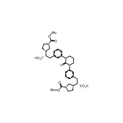 CC(C)(C)OC(=O)N1CC[C@H]([C@H](Cc2cccc(N3CCCN(c4cccc(C[C@H](C(=O)O)[C@H]5CCN(C(=O)OC(C)(C)C)C5)c4)C3=O)c2)C(=O)O)C1